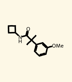 COc1cccc(C(C)(C)C(=O)NC2CCC2)c1